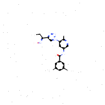 Cc1ncc(NC(=O)c2cc(C#N)cc(C(C)(C)C)c2)cc1-n1cc(C(CC(C)C)=NO)nn1